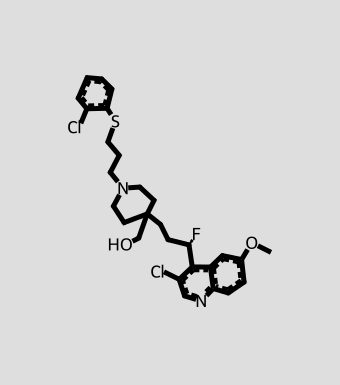 COc1ccc2ncc(Cl)c([C@@H](F)CCC3(CO)CCN(CCCSc4ccccc4Cl)CC3)c2c1